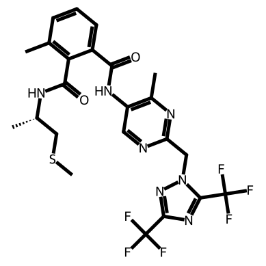 CSC[C@H](C)NC(=O)c1c(C)cccc1C(=O)Nc1cnc(Cn2nc(C(F)(F)F)nc2C(F)(F)F)nc1C